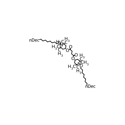 CCCCCCCCCCCCCCCCCCON1C(C)(C)CC(OC(=O)CCC(=O)OC2CC(C)(C)N(OCCCCCCCCCCCCCCCCCC)C(C)(C)C2)CC1(C)C